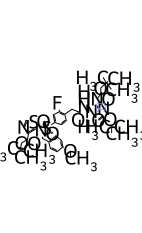 COc1ccc(CN(c2scnc2C(=O)OC(C)(C)C)S(=O)(=O)c2ccc(CC(=O)NN/C(=N\C(=O)OC(C)(C)C)NC(=O)OC(C)(C)C)c(F)c2)cc1